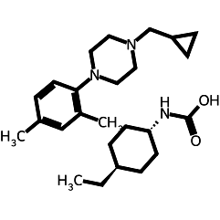 CC[C@H]1CC[C@H](NC(=O)O)CC1.Cc1ccc(N2CCN(CC3CC3)CC2)c(C)c1